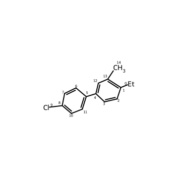 CCc1ccc(-c2ccc(Cl)cc2)cc1C